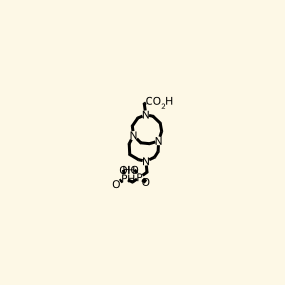 O=C(O)CN1CCCN2CCN(CCCN(CP(=O)(O)C[PH](=O)O)CC2)CC1